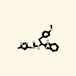 COc1ccc(CC(NC(=O)Nc2cc(C)on2)c2nc3ccccc3[nH]2)cc1